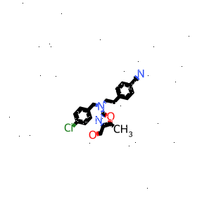 Cc1oc(N(CCc2ccc(C#N)cc2)Cc2ccc(Cl)cc2)nc1C=O